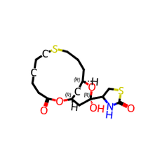 O=C1CCCCCSCCC[C@@H]2C[C@H](C[C@](O)(C3CSC(=O)N3)O2)O1